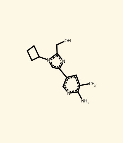 Nc1ncc(-c2cn(C3CCC3)c(CO)n2)cc1C(F)(F)F